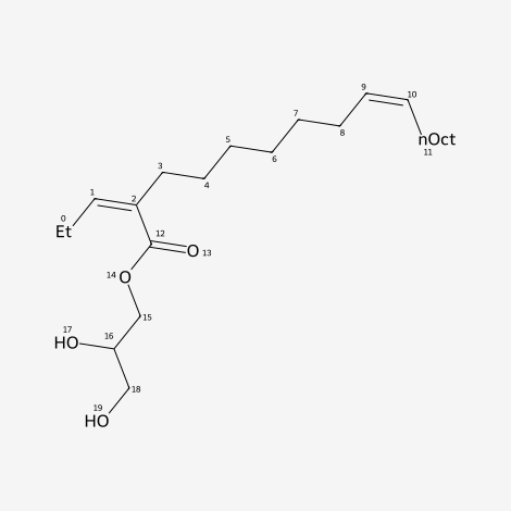 CCC=C(CCCCCC/C=C\CCCCCCCC)C(=O)OCC(O)CO